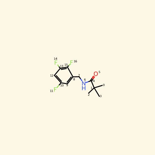 CC(C)(C)C(=O)NCc1cc(F)cc(F)c1F